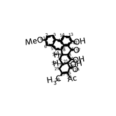 COc1ccc2c(c1)cc1c3c(c(O)ccc32)C(=O)C2=C(O)[C@@]3(O)C(=O)C(C(C)=O)=C(C)C[C@H]3C[C@H]21